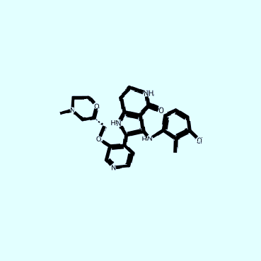 Cc1c(Cl)cccc1Nc1c(-c2ccncc2OC[C@@H]2CN(C)CCO2)[nH]c2c1C(=O)NCC2